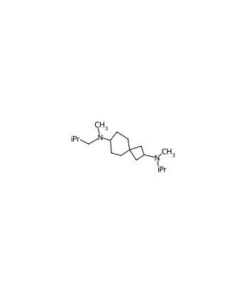 CC(C)CN(C)C1CCC2(CC1)CC(N(C)C(C)C)C2